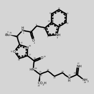 CC[C@H](C)C(NC(=O)Cc1c[nH]c2ccccc12)c1nc(C(=O)N[C@@H](CCCNC(=N)N)C(=O)O)co1